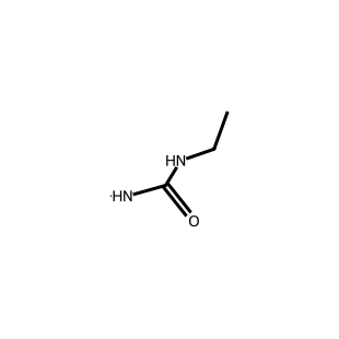 CCNC([NH])=O